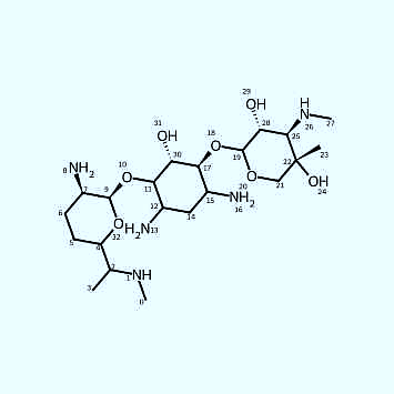 CNC(C)C1CC[C@@H](N)[C@@H](OC2C(N)CC(N)[C@H](OC3OC[C@@](C)(O)[C@H](NC)[C@H]3O)[C@H]2O)O1